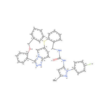 CC(C)(C)c1cc(NC(=O)NCc2ccccc2Sc2ccc3nnc(-c4ccccc4OCc4ccccc4)n3c2)n(-c2ccc(F)cc2)n1